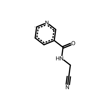 N#CCNC(=O)c1cc[c]nc1